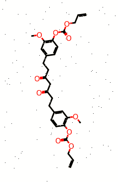 C=CCOC(=O)Oc1ccc(CCC(=O)CC(=O)CCc2ccc(OC(=O)OCC=C)c(OC)c2)cc1OC